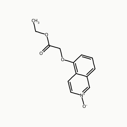 CCOC(=O)COc1cccc2c[n+]([O-])ccc12